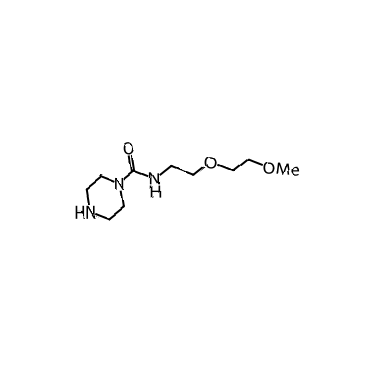 COCCOCCNC(=O)N1CCNCC1